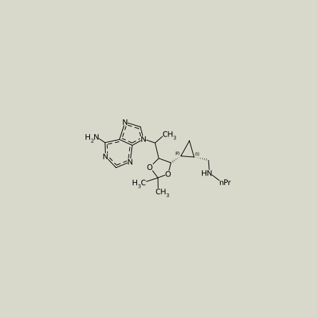 CCCNC[C@H]1C[C@H]1C1OC(C)(C)OC1C(C)n1cnc2c(N)ncnc21